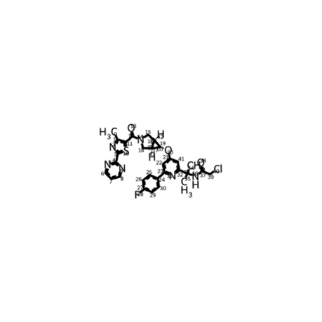 Cc1nc(-c2ncccn2)sc1C(=O)N1C[C@@H]2[C@H](C1)[C@H]2Oc1cc(-c2ccc(F)cc2)nc(C(C)(C)NC(=O)CCl)c1